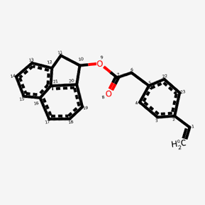 C=Cc1ccc(CC(=O)OC2Cc3cccc4cccc2c34)cc1